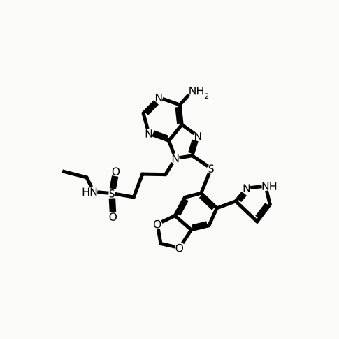 CCNS(=O)(=O)CCCn1c(Sc2cc3c(cc2-c2cc[nH]n2)OCO3)nc2c(N)ncnc21